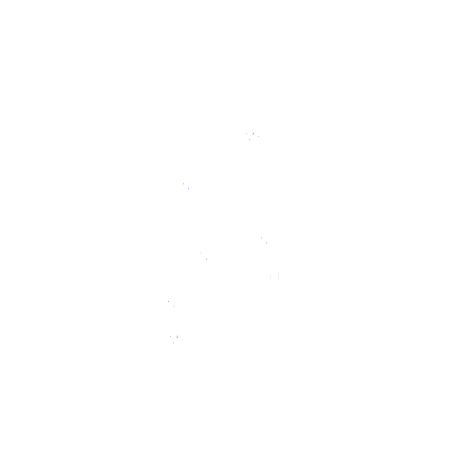 CCCN1CC(C)=C(OC)C2=C1N1CN(OC)C=C1C=N2